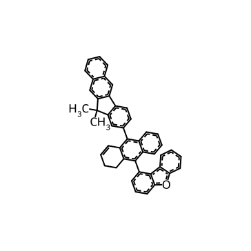 CC1(C)c2cc(-c3c4c(c(-c5cccc6oc7ccccc7c56)c5ccccc35)CCC=C4)ccc2-c2cc3ccccc3cc21